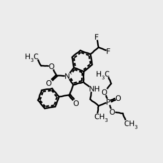 CCOC(=O)n1c(C(=O)c2ccccc2)c(NCC(C)P(=O)(OCC)OCC)c2cc(C(F)F)ccc21